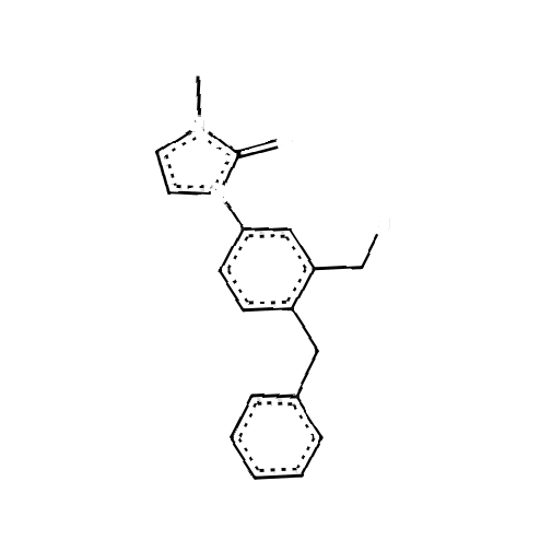 Cn1ccn(-c2ccc(Cc3ccccc3)c(CCl)c2)c1=O